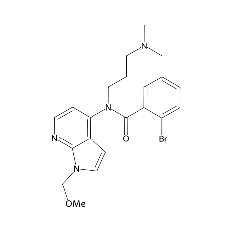 COCn1ccc2c(N(CCCN(C)C)C(=O)c3ccccc3Br)ccnc21